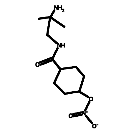 CC(C)(N)CNC(=O)C1CCC(O[N+](=O)[O-])CC1